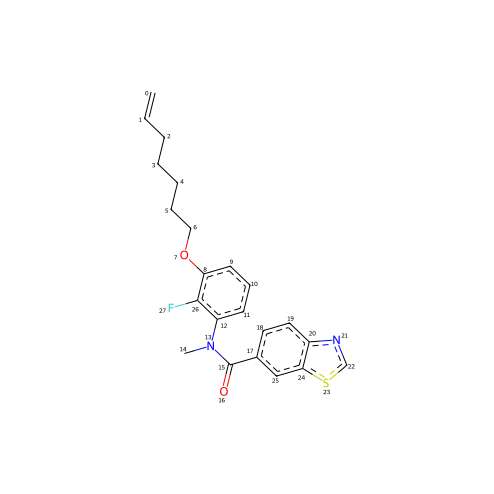 C=CCCCCCOc1cccc(N(C)C(=O)c2ccc3ncsc3c2)c1F